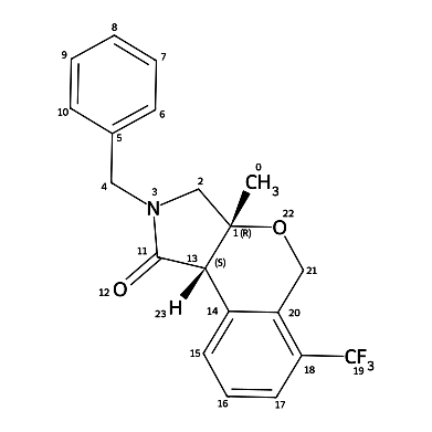 C[C@]12CN(Cc3ccccc3)C(=O)[C@H]1c1cccc(C(F)(F)F)c1CO2